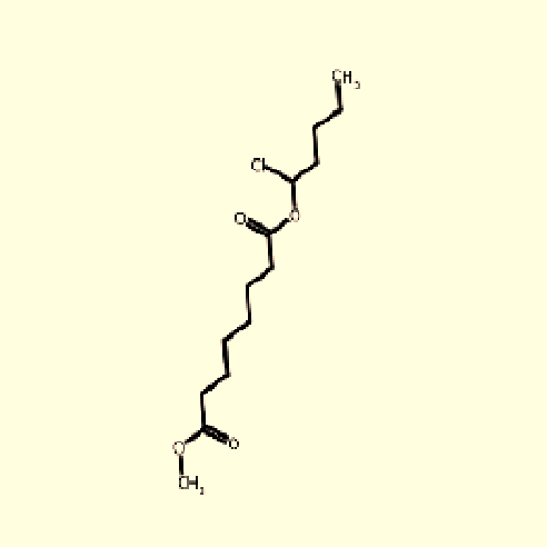 CCCCC(Cl)OC(=O)CCCCCCC(=O)OC